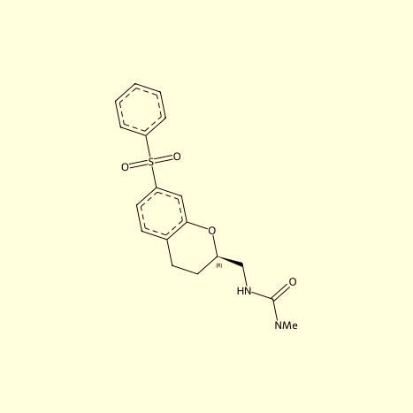 CNC(=O)NC[C@H]1CCc2ccc(S(=O)(=O)c3ccccc3)cc2O1